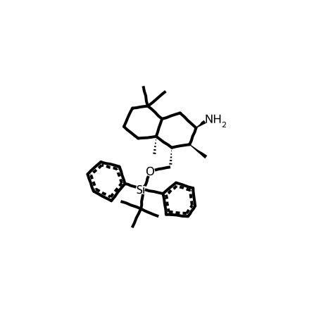 C[C@@H]1[C@H](N)CC2C(C)(C)CCC[C@]2(C)[C@H]1CO[Si](c1ccccc1)(c1ccccc1)C(C)(C)C